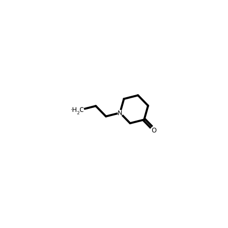 [CH2]CCN1CCCC(=O)C1